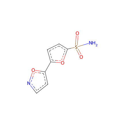 NS(=O)(=O)c1ccc(-c2ccno2)o1